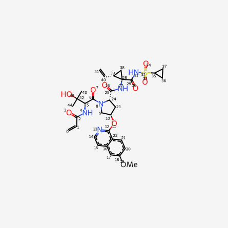 C=CC(=O)N[C@H](C(=O)N1C[C@H](Oc2nccc3cc(OC)ccc23)C[C@H]1C(=O)N[C@]1(C(=O)NS(=O)(=O)C2CC2)C[C@H]1C=C)C(C)(C)O